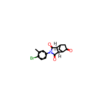 Cc1cc(N2C(=O)[C@@H]3C4CC(CC4=O)[C@@H]3C2=O)ccc1Br